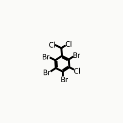 Clc1c(Br)c(Br)c(Br)c(C(Cl)Cl)c1Br